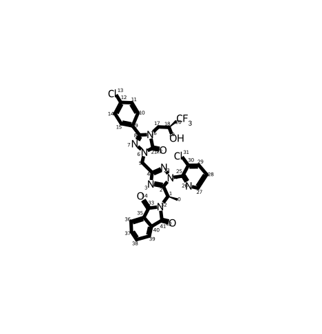 C[C@H](c1nc(Cn2nc(-c3ccc(Cl)cc3)n(C[C@H](O)C(F)(F)F)c2=O)nn1-c1ncccc1Cl)N1C(=O)c2ccccc2C1=O